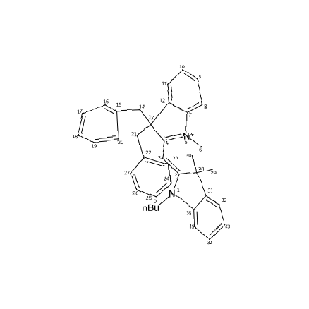 CCCCN1C(=CC2=[N+](C)c3ccccc3C2(Cc2ccccc2)Cc2ccccc2)C(C)(C)c2ccccc21